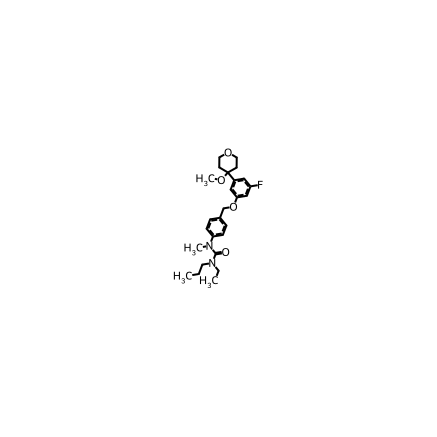 CCCN(CC)C(=O)N(C)c1ccc(COc2cc(F)cc(C3(OC)CCOCC3)c2)cc1